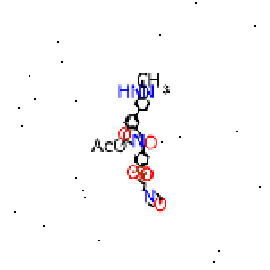 CC(=O)OC1CN(C(=O)c2ccc(S(=O)(=O)CCCN3CCOCC3)cc2)Cc2cc(-c3ccc4nc(C)[nH]c4c3)ccc2O1